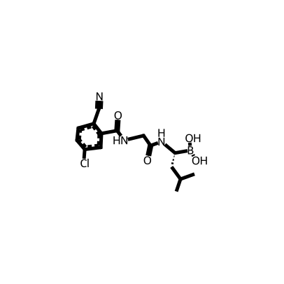 CC(C)C[C@H](NC(=O)CNC(=O)c1cc(Cl)ccc1C#N)B(O)O